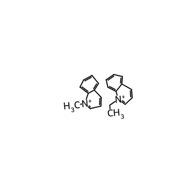 CC[n+]1cccc2ccccc21.C[n+]1cccc2ccccc21